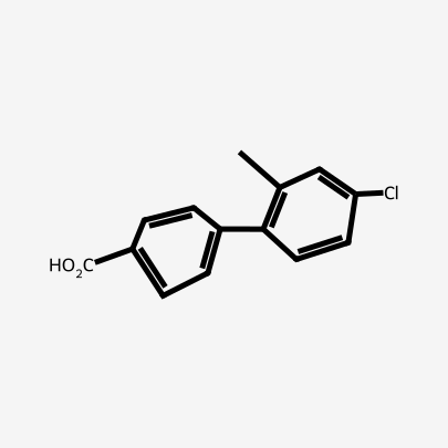 Cc1cc(Cl)ccc1-c1ccc(C(=O)O)cc1